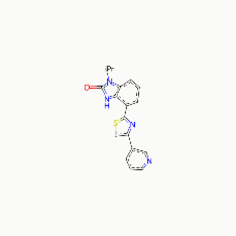 CC(C)n1c(=O)[nH]c2c(-c3nc(-c4cccnc4)cs3)cccc21